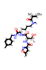 Cc1ccc(CNC(=O)[C@H](CCCCN(C)C(=O)C(C#N)=CC(C)(C)C)NC(=O)[C@@H](NC(=O)c2cc(C)on2)[C@@H](C)O)cc1